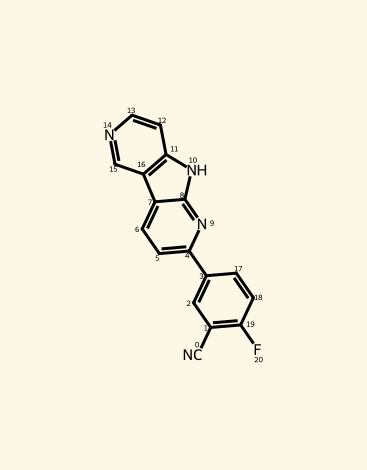 N#Cc1cc(-c2ccc3c(n2)[nH]c2ccncc23)ccc1F